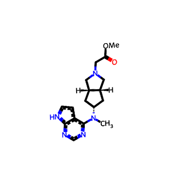 COC(=O)CN1C[C@H]2C[C@@H](N(C)c3ncnc4[nH]ccc34)C[C@H]2C1